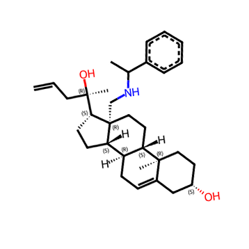 C=CC[C@@](C)(O)[C@H]1CC[C@H]2[C@@H]3CC=C4C[C@@H](O)CC[C@]4(C)[C@H]3CC[C@@]21CNC(C)c1ccccc1